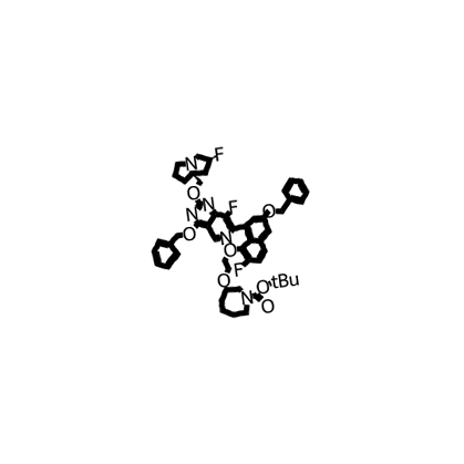 CC(C)(C)OC(=O)N1CCCC[C@@H](OCCOc2c(F)ccc3cc(OCc4ccccc4)cc(-c4ncc5c(OCc6ccccc6)nc(OC[C@@]67CCCN6C[C@H](F)C7)nc5c4F)c23)C1